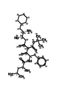 CC(C)CC(N)C(=O)NC(Cc1ccccc1)C(=O)N(C(=O)C[C@H](O)[C@@H](N)CC1CCCCC1)C(=O)OC(C)(C)C